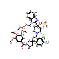 CCOCCn1c(C2(OS(C)(=O)=O)CCN(CCC3(c4ccc(Cl)c(Cl)c4)CCN(C(=O)c4cc(OC)c(OC)c(OC)c4)C3)CC2)nc2ccccc21